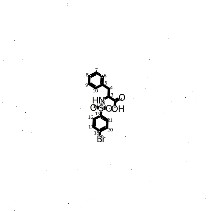 O=C(O)C(Cc1ccccc1)NS(=O)(=O)c1ccc(Br)cc1